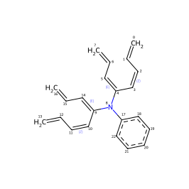 C=C/C=C\C(=C/C=C)N(C(/C=C\C=C)=C/C=C)c1ccccc1